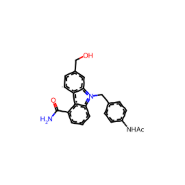 CC(=O)Nc1ccc(Cn2c3cc(CO)c[c]c3c3c(C(N)=O)cccc32)cc1